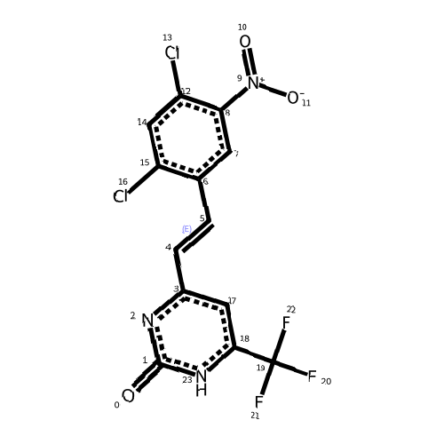 O=c1nc(/C=C/c2cc([N+](=O)[O-])c(Cl)cc2Cl)cc(C(F)(F)F)[nH]1